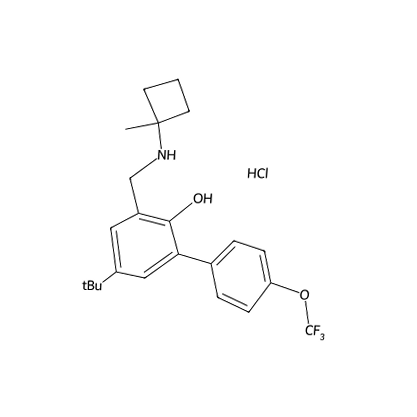 CC1(NCc2cc(C(C)(C)C)cc(-c3ccc(OC(F)(F)F)cc3)c2O)CCC1.Cl